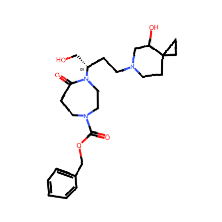 O=C(OCc1ccccc1)N1CCC(=O)N([C@H](CO)CCN2CCC3(CC3)C(O)C2)CC1